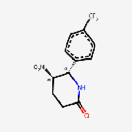 O=C1CC[C@@H]([N+](=O)[O-])[C@H](c2ccc(C(F)(F)F)cc2)N1